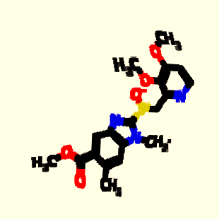 [CH2]n1c([S+]([O-])Cc2nccc(OC)c2OC)nc2cc(C(=O)OC)c(C)cc21